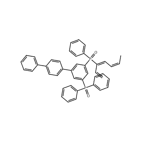 C=C/C(=C\C=C/C)P(=O)(c1ccccc1)c1cc(-c2ccc(-c3ccccc3)cc2)cc(P(=O)(c2ccccc2)c2ccccc2)c1